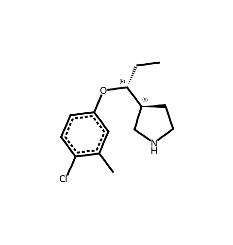 CC[C@@H](Oc1ccc(Cl)c(C)c1)[C@H]1CCNC1